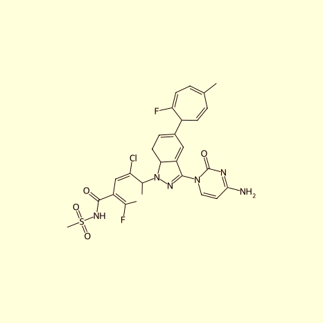 CC1=CC=C(F)C(C2=CCC3C(=C2)C(n2ccc(N)nc2=O)=NN3C(C)/C(Cl)=C\C(C(=O)NS(C)(=O)=O)=C(/C)F)C=C1